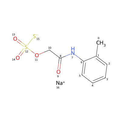 Cc1ccccc1NC(=O)COS(=O)(=O)[S-].[Na+]